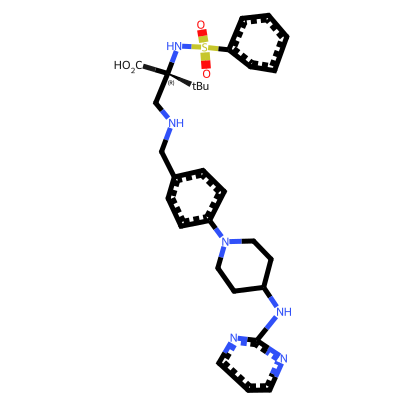 CC(C)(C)[C@](CNCc1ccc(N2CCC(Nc3ncccn3)CC2)cc1)(NS(=O)(=O)c1ccccc1)C(=O)O